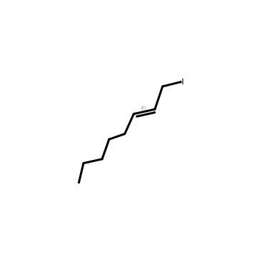 CCCCC/C=C/CI